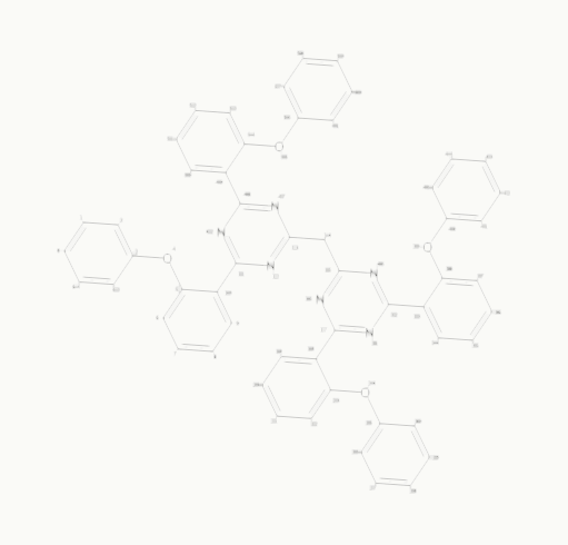 c1ccc(Oc2ccccc2-c2nc(Cc3nc(-c4ccccc4Oc4ccccc4)nc(-c4ccccc4Oc4ccccc4)n3)nc(-c3ccccc3Oc3ccccc3)n2)cc1